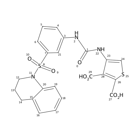 O=C(Nc1cccc(S(=O)(=O)N2CCCc3ccccc32)c1)Nc1csc(C(=O)O)c1C(=O)O